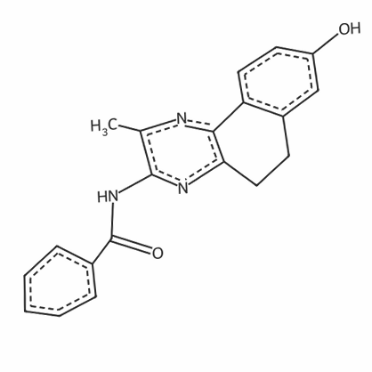 Cc1nc2c(nc1NC(=O)c1ccccc1)CCc1cc(O)ccc1-2